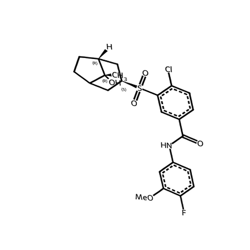 COc1cc(NC(=O)c2ccc(Cl)c(S(=O)(=O)[C@H]3CC4CC[C@H](C3)[C@]4(C)O)c2)ccc1F